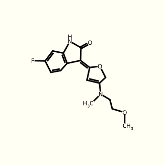 COCCN(C)C1=C/C(=C2/C(=O)Nc3cc(F)ccc32)OC1